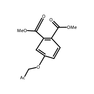 COC(=O)c1ccc(OCC(C)=O)cc1C(=O)OC